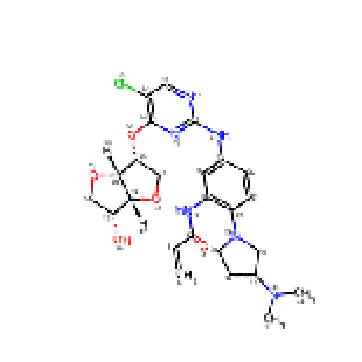 C=CC(=O)Nc1cc(Nc2ncc(Cl)c(O[C@@H]3CO[C@H]4[C@@H]3OC[C@H]4O)n2)ccc1N1CCC(N(C)C)C1